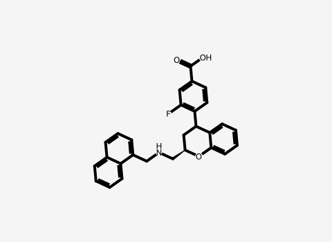 O=C(O)c1ccc(C2C[C@H](CNCc3cccc4ccccc34)Oc3ccccc32)c(F)c1